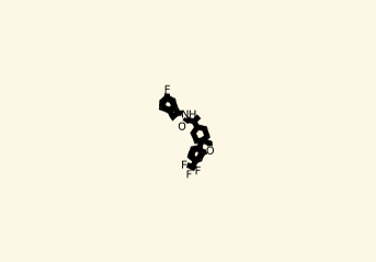 CC(C(=O)NC1Cc2ccc(F)cc21)C1CCC2(CC1)COc1cc(C(F)(F)F)ccc12